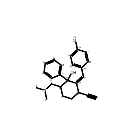 C#CC1CCC(CN(C)C)C(O)(c2ccccc2)C1=Cc1ccc(Cl)cc1